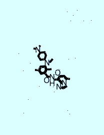 CCN(c1cc(C)cc(C(=O)NCc2c(OC)cc(C)n3ccnc23)c1C)[C@H]1CC[C@H](N(C)C)CC1